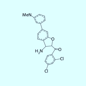 CNc1cccc(-c2ccc3c(c2)OC(C(=O)c2ccc(Cl)cc2Cl)C3N)c1